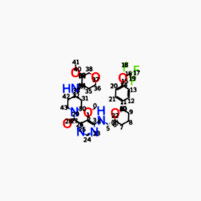 COc1c(NC[C@H]2CCC[C@@H](c3ccc(OC(F)(F)F)cc3)O2)ncnc1C(=O)N1CCC(N[C@H]2CCOC[C@H]2OC)CC1